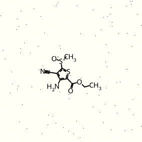 CCOC(=O)c1sc([S+](C)[O-])c(C#N)c1N